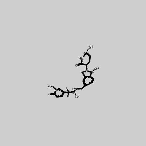 Cn1cc(C(F)(F)[C@H](O)NCc2ccc3c(c2)CN(C2CC[C@H](O)NC2=O)[C@H]3O)ccc1=O